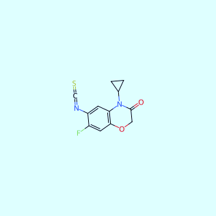 O=C1COc2cc(F)c(N=C=S)cc2N1C1CC1